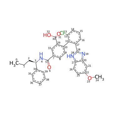 CCC[C@@H](NC(=O)c1ccc(-c2c(Cl)cccc2-c2nc3cc(OC)ccc3[nH]2)c(C(=O)O)c1)c1ccccc1